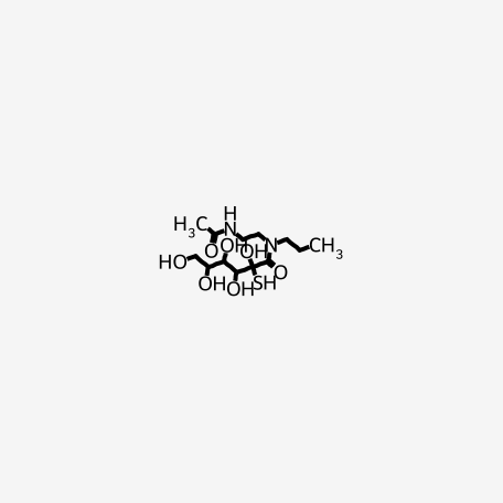 CCCN(CCNC(C)=O)C(=O)C(O)(S)C(O)C(O)C(O)CO